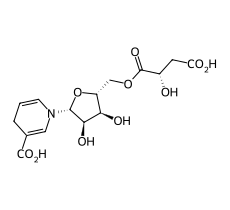 O=C(O)C[C@H](O)C(=O)OC[C@H]1O[C@@H](N2C=CCC(C(=O)O)=C2)[C@H](O)[C@@H]1O